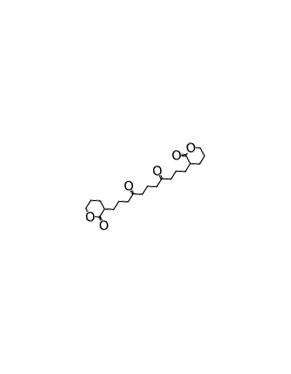 O=C(CCCC(=O)CCCC1CCCOC1=O)CCCC1CCCOC1=O